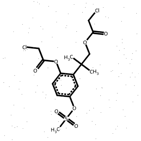 CC(C)(COC(=O)CCl)c1cc(OS(C)(=O)=O)ccc1OC(=O)CCl